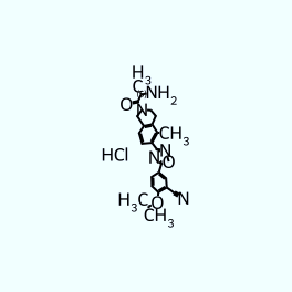 Cc1c(-c2noc(-c3ccc(OC(C)C)c(C#N)c3)n2)ccc2c1CCN(C(=O)[C@H](C)N)C2.Cl